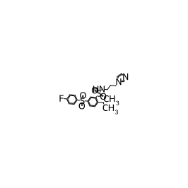 CC(C)c1ccc(S(=O)(=O)c2ccc(F)cc2)cc1S(=O)(=O)NCCCn1ccnc1